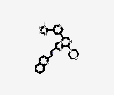 C(=C\c1cn2c(-c3cncc(-c4nnn[nH]4)c3)cnc(N3CCOCC3)c2n1)/c1ccc2ccccc2n1